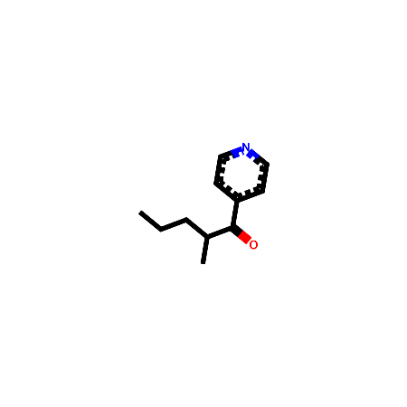 CCCC(C)C(=O)c1ccncc1